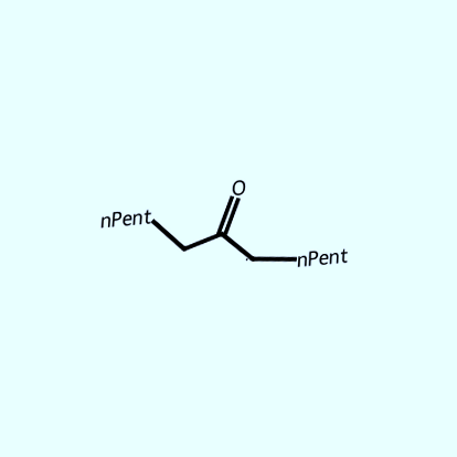 CCCCC[CH]C(=O)CCCCCC